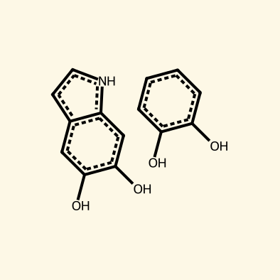 Oc1cc2cc[nH]c2cc1O.Oc1ccccc1O